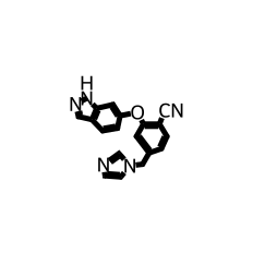 N#Cc1ccc(Cn2ccnc2)cc1Oc1ccc2cn[nH]c2c1